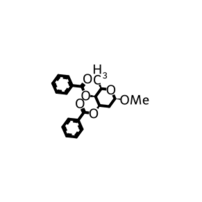 CO[C@@H]1C[C@@H](OC(=O)c2ccccc2)[C@@H](OC(=O)c2ccccc2)[C@@H](C)O1